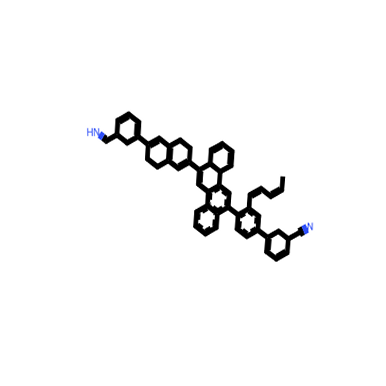 C/C=C\C=C/c1cc(C2=CC=CC(C#N)C2)ccc1-c1cc2c(c3ccccc13)C=C(C1=CC3=C(C=C(C4=CC=CC(C=N)C4)CC3)CC1)C1C=CC=CC21